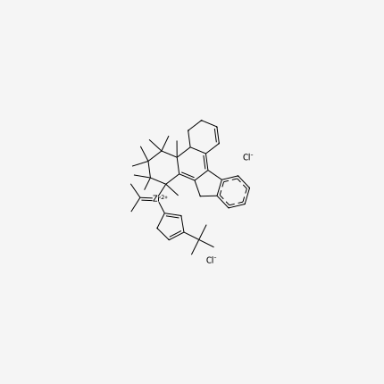 C[C](C)=[Zr+2]([C]1=CC(C(C)(C)C)=CC1)[C]1(C)C2=C3Cc4ccccc4C3=C3C=CCCC3C2(C)C(C)(C)C(C)(C)C1(C)C.[Cl-].[Cl-]